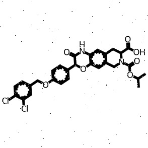 CC(C)OC(=O)N1Cc2cc3c(cc2CC1C(=O)O)NC(=O)C(c1ccc(OCc2ccc(Cl)c(Cl)c2)cc1)O3